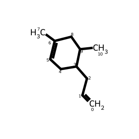 C=CCC1CC=C(C)CC1C